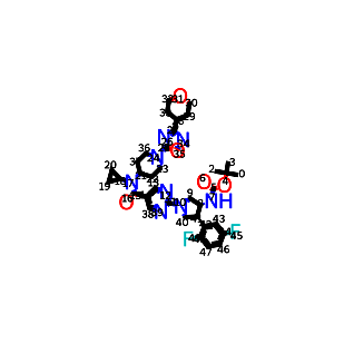 CC(C)(C)OC(=O)N[C@H]1CN(c2ncc(C(=O)N(C3CC3)C3CCN(c4nc(C5CCOCC5)no4)CC3)cn2)C[C@@H]1c1cc(F)ccc1F